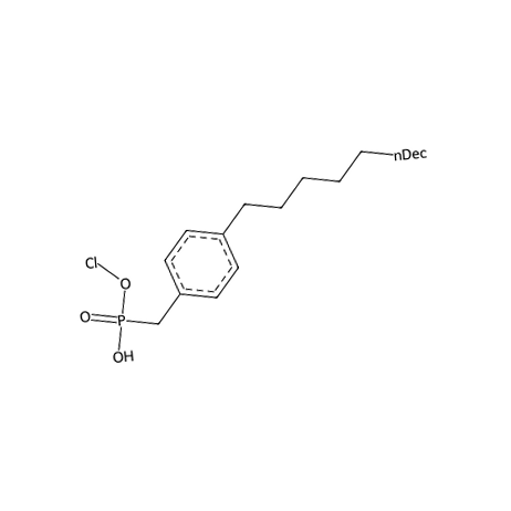 CCCCCCCCCCCCCCCc1ccc(CP(=O)(O)OCl)cc1